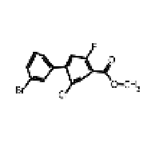 COC(=O)c1cc(Cl)c(-c2cccc(Br)c2)cc1F